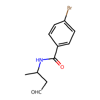 CC(CC=O)NC(=O)c1ccc(Br)cc1